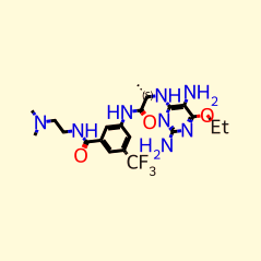 CCOc1nc(N)nc(N[C@@H](C)C(=O)Nc2cc(C(=O)NCCN(C)C)cc(C(F)(F)F)c2)c1N